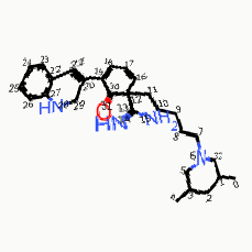 CC1CC(C)CN(CCCCCC2(C(=N)N)C=CC=C(C3=Cc4ccccc4NC3)C2=O)C1